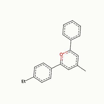 CCc1ccc(-c2cc(C)cc(-c3ccccc3)[o+]2)cc1